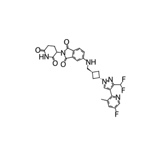 Cc1cc(F)cnc1-c1cn([C@H]2C[C@H](CNc3ccc4c(c3)C(=O)N(C3CCC(=O)NC3=O)C4=O)C2)nc1C(F)F